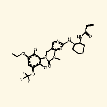 C=CC(=O)N[C@H]1CCCC[C@H]1Nc1ncc2c(n1)N(C)C(=O)N(c1c(Cl)c(OCC)cc(OC(F)(F)F)c1Cl)C2